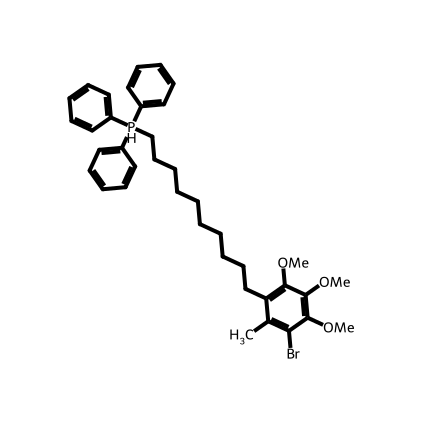 COc1c(Br)c(C)c(CCCCCCCCCC[PH](c2ccccc2)(c2ccccc2)c2ccccc2)c(OC)c1OC